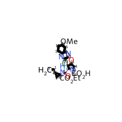 C=C[C@@H]1C[C@]1(NC(=O)[C@@H]1C[C@@H](Oc2nc3cc(OC)ccc3nc2Cl)CN1C(=O)O)C(=O)OCC